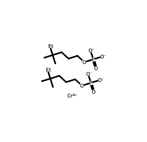 CCC(C)(C)CCCOP(=O)([O-])[O-].CCC(C)(C)CCCOP(=O)([O-])[O-].[Cr+4]